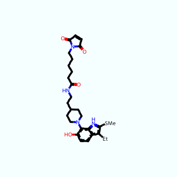 CCc1c(SC)[nH]c2c(N3CCC(CCNC(=O)CCCCCN4C(=O)C=CC4=O)CC3)c(O)ccc12